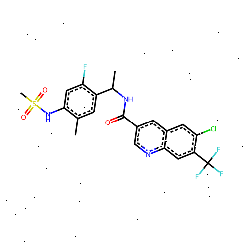 Cc1cc(C(C)NC(=O)c2cnc3cc(C(F)(F)F)c(Cl)cc3c2)c(F)cc1NS(C)(=O)=O